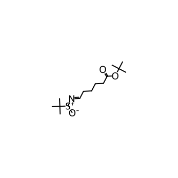 CC(C)(C)OC(=O)CCCCC=N[S+]([O-])C(C)(C)C